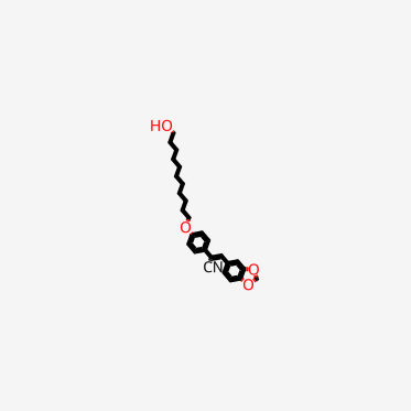 N#C/C(=C\c1ccc2c(c1)OCO2)c1ccc(OCCCCCCCCCCCO)cc1